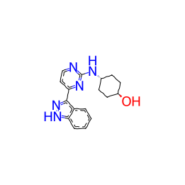 O[C@H]1CC[C@H](Nc2nccc(-c3n[nH]c4ccccc34)n2)CC1